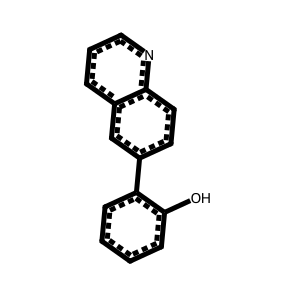 Oc1ccccc1-c1ccc2ncccc2c1